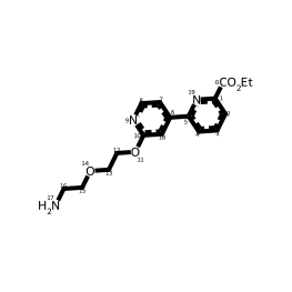 CCOC(=O)c1cccc(-c2ccnc(OCCOCCN)c2)n1